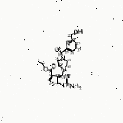 CCOC(=O)c1csc2nc(N)nc(N3CCN(C(=O)c4cccc(CO)n4)CC3)c12